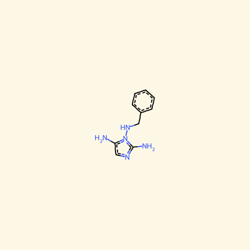 Nc1cnc(N)n1NCc1ccccc1